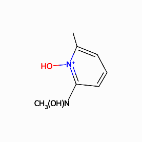 Cc1cccc(N(C)O)[n+]1O